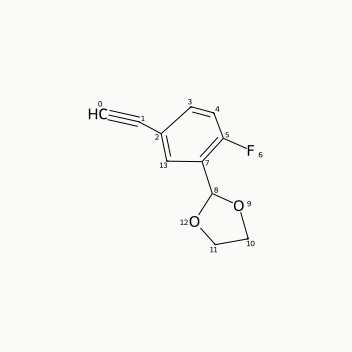 C#Cc1ccc(F)c(C2OCCO2)c1